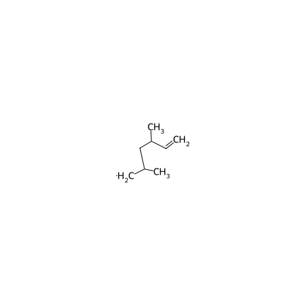 [CH2]C(C)CC(C)C=C